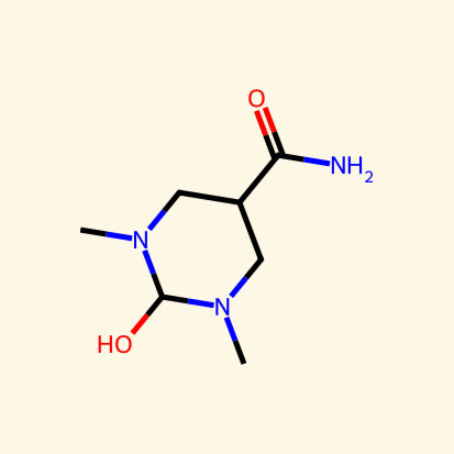 CN1CC(C(N)=O)CN(C)C1O